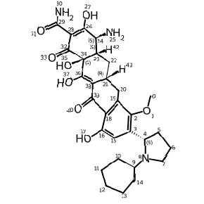 COc1c([C@@H]2CCCN2C2CCCCC2)cc(O)c2c1C[C@H]1C[C@H]3[C@H](N)C(O)=C(C(N)=O)C(=O)[C@@]3(O)C(O)=C1C2=O